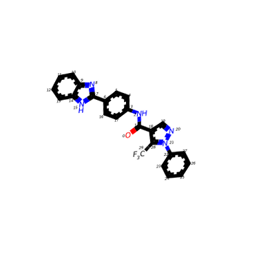 O=C(Nc1ccc(-c2nc3ccccc3[nH]2)cc1)c1cnn(-c2ccccc2)c1C(F)(F)F